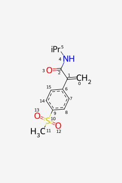 C=C(C(=O)NC(C)C)c1ccc(S(C)(=O)=O)cc1